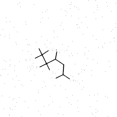 CCCCC(CC)CC(C(=O)O)C(O)(C(=O)O)C(CCCC)(CCCC)C(=O)O